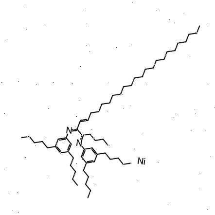 CCCCCCCCCCCCCCCCCCCCCC=CC(=Nc1cc(CCCCC)cc(CCCCC)c1)C(CCCC)=Nc1cc(CCCCC)cc(CCCCC)c1.[Ni]